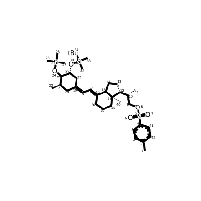 Cc1ccc(S(=O)(=O)OC[C@@H](C)[C@H]2CCC3/C(=C/C=C4/C[C@@H](C)C(O[Si](C)(C)C)[C@H](O[Si](C)(C)C(C)(C)C)C4)CCC[C@@]32C)cc1